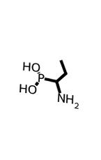 CCC(N)P(O)O